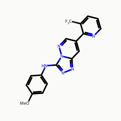 COc1ccc(Nc2nnc3cc(-c4ncccc4C(F)(F)F)cnn23)cc1